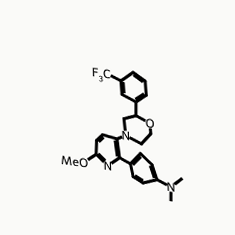 COc1ccc(N2CCOC(c3cccc(C(F)(F)F)c3)C2)c(-c2ccc(N(C)C)cc2)n1